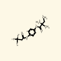 CCC(C)(C)C(=O)Oc1ccc(OC(=O)CC(F)(F)F)cc1